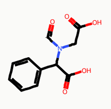 O=[C]N(CC(=O)O)C(C(=O)O)c1ccccc1